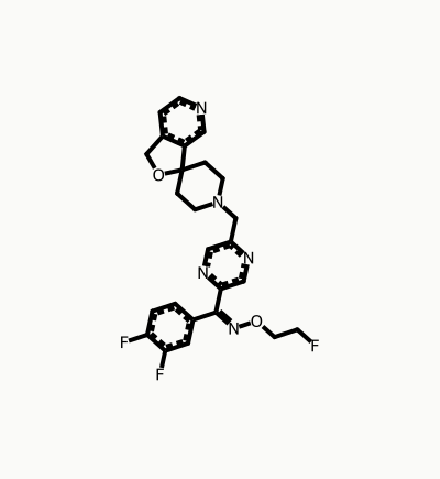 FCCO/N=C(/c1ccc(F)c(F)c1)c1cnc(CN2CCC3(CC2)OCc2ccncc23)cn1